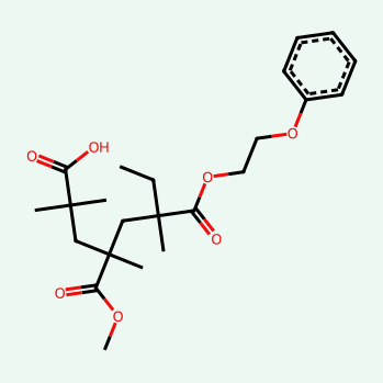 CCC(C)(CC(C)(CC(C)(C)C(=O)O)C(=O)OC)C(=O)OCCOc1ccccc1